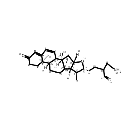 C[C@H]1[C@H]2[C@H](C[C@H]3[C@@H]4C=CC5=CC(=O)CC[C@]5(C)[C@H]4CC[C@]23C)O[C@@H]1CCC(C=O)CN